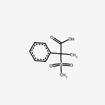 CC(C(=O)O)(c1ccccc1)S(C)(=O)=O